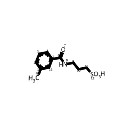 Cc1cccc(C(=O)NCCCS(=O)(=O)O)c1